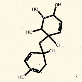 CC1(CC2(C)C=CC(O)C(O)C2O)C=CC(O)=CC1